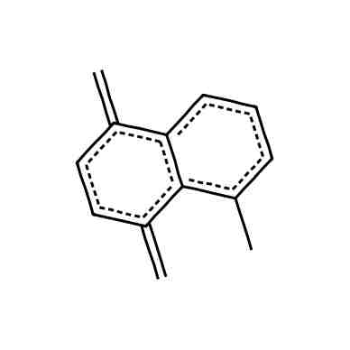 C=c1ccc(=C)c2c(C)cccc12